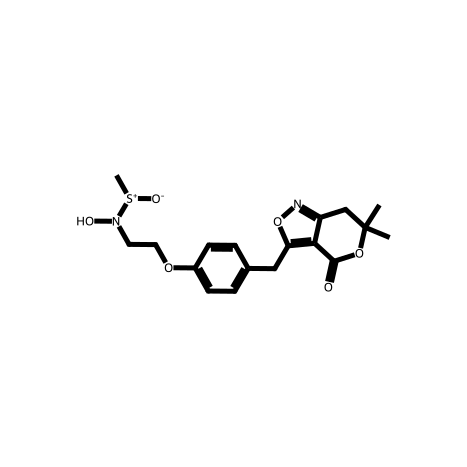 C[S+]([O-])N(O)CCOc1ccc(Cc2onc3c2C(=O)OC(C)(C)C3)cc1